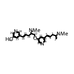 CNC(C)C/C=C/c1cncc(OCC(C/C=C/c2cncc(O)c2)NC)c1